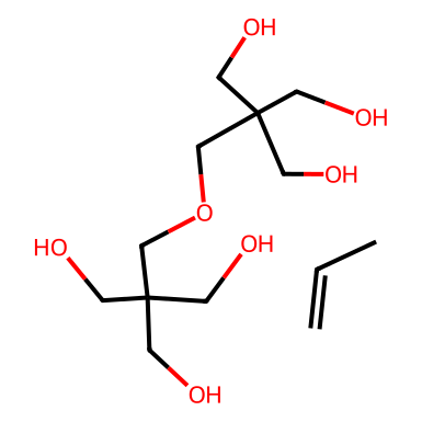 C=CC.OCC(CO)(CO)COCC(CO)(CO)CO